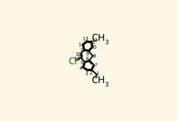 CCc1ccc2c(c1)Cc1cc(C)ccc1C=C2Cl